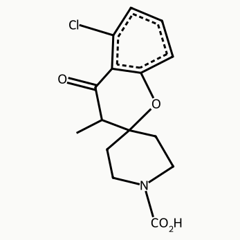 CC1C(=O)c2c(Cl)cccc2OC12CCN(C(=O)O)CC2